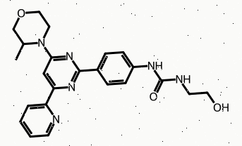 CC1COCCN1c1cc(-c2ccccn2)nc(-c2ccc(NC(=O)NCCO)cc2)n1